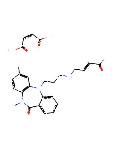 CN1C(=O)c2ccccc2N(CCCNC/C=C/C(=O)O)c2cc(Cl)ccc21.O=C(O)/C=C\C(=O)O